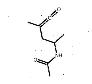 CC(=O)NC(C)CC(C)=C=O